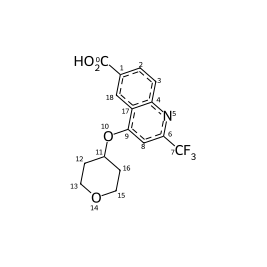 O=C(O)c1ccc2nc(C(F)(F)F)cc(OC3CCOCC3)c2c1